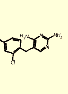 Nc1ncc(Cc2ccc(Cl)cc2Cl)c(N)n1